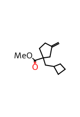 C=C1CCC(CC2CCC2)(C(=O)OC)C1